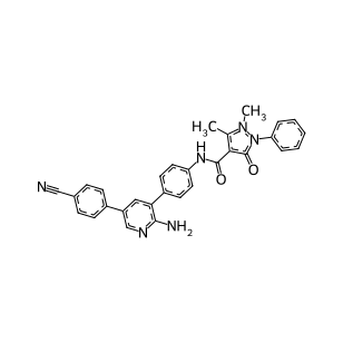 Cc1c(C(=O)Nc2ccc(-c3cc(-c4ccc(C#N)cc4)cnc3N)cc2)c(=O)n(-c2ccccc2)n1C